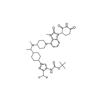 CC(C1CCC(n2cc(NC(=O)OC(C)(C)C)c(C(F)F)n2)CC1)N(C)C1CCN(c2cccc3c2n(C)c(=O)n3C2CCC(=O)NC2=O)CC1